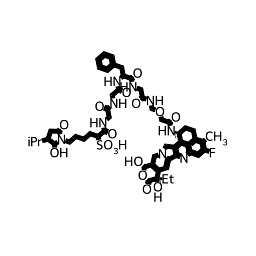 CC[C@@]1(O)C(=O)OC(O)C2=C1C=C1c3nc4cc(F)c(C)c5c4c(c3CN1C2)[C@@H](NC(=O)COCNC(=O)CNC(=O)C(Cc1ccccc1)NC(=O)CNC(=O)CNC(=O)C(CCCCN1C(=O)CC(C(C)C)C1O)S(=O)(=O)O)CC5